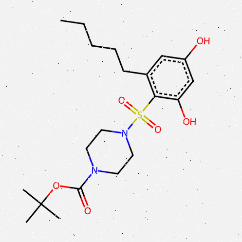 CCCCCc1cc(O)cc(O)c1S(=O)(=O)N1CCN(C(=O)OC(C)(C)C)CC1